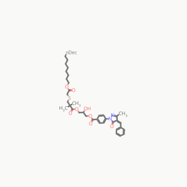 CCCCCCCCCCCCCCCCCCOC(=O)CSCC(C)(C)C(=O)OCC(O)COC(=O)c1ccc(N2N=C(C)/C(=C/c3ccccc3)C2=O)cc1